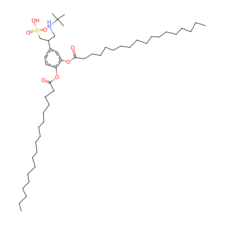 CCCCCCCCCCCCCCCCCC(=O)Oc1ccc(C(CNC(C)(C)C)CS(=O)(=O)O)cc1OC(=O)CCCCCCCCCCCCCCCCC